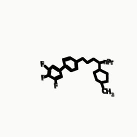 CCCC(CCCc1ccc(-c2cc(F)c(F)c(F)c2)cc1)C1CCC(C)CC1